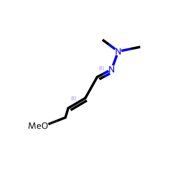 COC/C=C/C=N/N(C)C